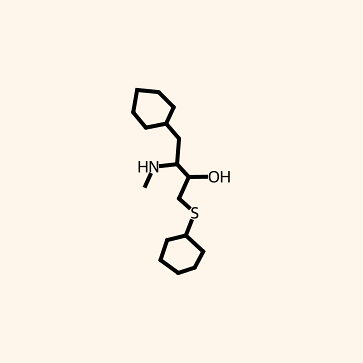 CNC(CC1CCCCC1)C(O)CSC1CCCCC1